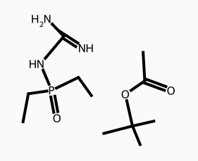 CC(=O)OC(C)(C)C.CCP(=O)(CC)NC(=N)N